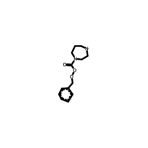 O=C(OOCc1ccccc1)N1CCC[N]CC1